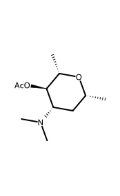 CC(=O)O[C@H]1[C@H](C)O[C@H](C)C[C@@H]1N(C)C